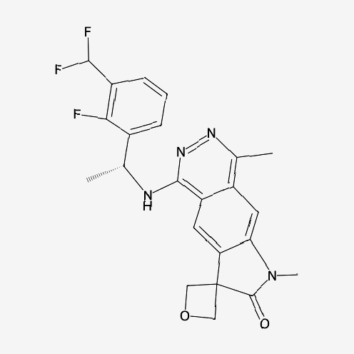 Cc1nnc(N[C@H](C)c2cccc(C(F)F)c2F)c2cc3c(cc12)N(C)C(=O)C31COC1